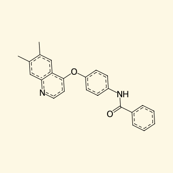 Cc1cc2nccc(Oc3ccc(NC(=O)c4ccccc4)cc3)c2cc1C